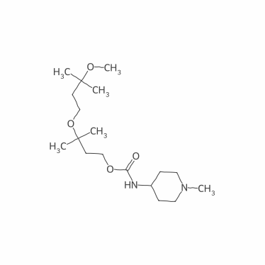 COC(C)(C)CCOC(C)(C)CCOC(=O)NC1CCN(C)CC1